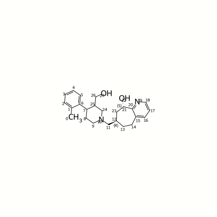 Cc1ccccc1C1CCN(C[C@@H]2CCc3cccnc3[C@@H](O)C2)CC1CO